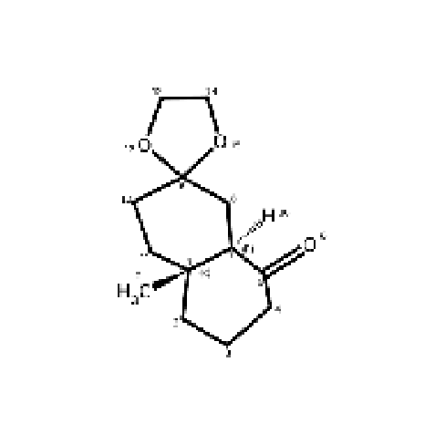 C[C@]12CCCC(=O)[C@@H]1CC1(CC2)OCCO1